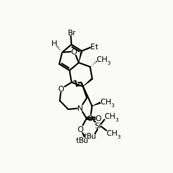 CCC1=C(Br)[C@@H]2C=C3[C@]1(O2)[C@H](C)C[C@@]12CN(C(=O)OC(C)(C)C)CCO[C@@]31CC=C2[C@@H](C)O[Si](C)(C)C(C)(C)C